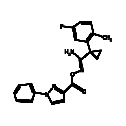 Cc1ccc(F)cc1C1(/C(N)=N/OC(=O)c2ccn(-c3ccccc3)n2)CC1